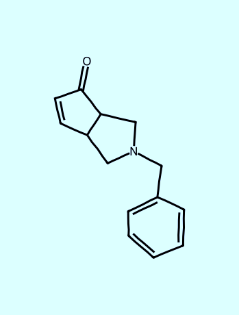 O=C1C=CC2CN(Cc3ccccc3)CC12